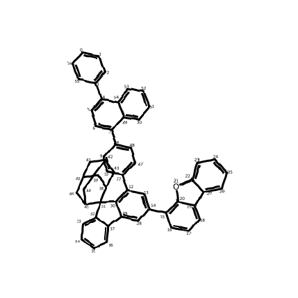 c1ccc(-c2ccc(-c3ccc(-c4cc(-c5cccc6c5oc5ccccc56)cc5c4C4(c6ccccc6-5)C5CC6CC(C5)CC4C6)cc3)c3ccccc23)cc1